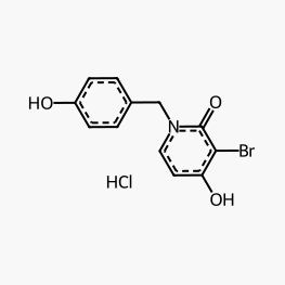 Cl.O=c1c(Br)c(O)ccn1Cc1ccc(O)cc1